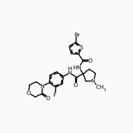 CN1CCC(NC(=O)c2ccc(Br)s2)(C(=O)Nc2ccc(N3CCOCC3=O)c(F)c2)C1